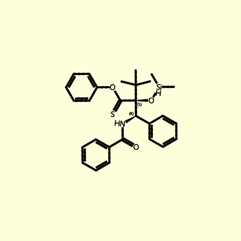 C[SiH](C)O[C@](C(=S)Oc1ccccc1)([C@H](NC(=O)c1ccccc1)c1ccccc1)C(C)(C)C